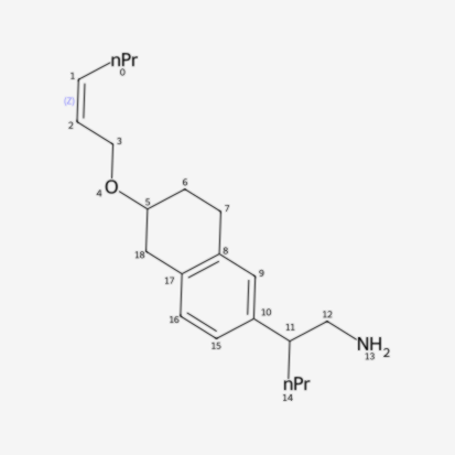 CCC/C=C\COC1CCc2cc(C(CN)CCC)ccc2C1